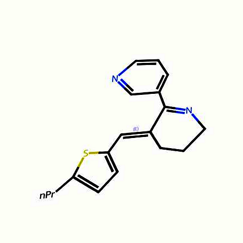 CCCc1ccc(/C=C2\CCCN=C2c2cccnc2)s1